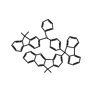 CC1(C)c2ccccc2-c2ccc(N(c3ccccc3)c3ccc(C4(c5ccc6c(c5)-c5cc7ccccc7cc5C6(C)C)c5ccccc5-c5ccccc54)cc3)cc21